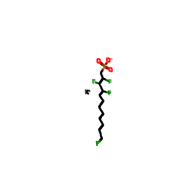 O=S(=O)([O-])CC(F)C(F)C(F)CCCCCCCCF.[K+]